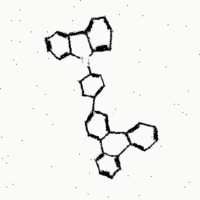 C1=C(c2ccc3c4ccccc4c4ccccc4c3c2)CCC(n2c3ccccc3c3ccccc32)=C1